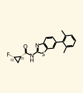 Cc1cccc(C)c1-c1ccc2nc(NC(=O)[C@@H]3C[C@@H]3F)sc2c1